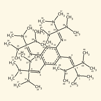 CN(C)P(=Nc1cc(N=P(N(C)C)(N(C)C)N(C)C)c(N=P(N(C)C)(N(C)C)N(C)C)cc1N=P(N(C)C)(N(C)C)N(C)C)(N(C)C)N(C)C